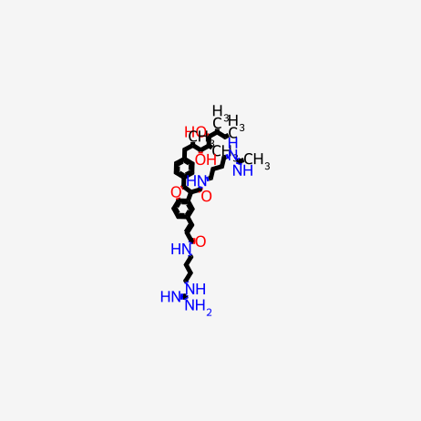 CCC(C)C(O)C(C)C(O)C(C)Cc1ccc(C2Oc3ccc(C=CC(=O)NCCCCNC(=N)N)cc3C2C(=O)NCCCCNC(C)=N)cc1